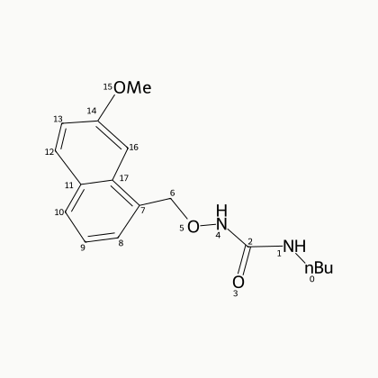 CCCCNC(=O)NOCc1cccc2ccc(OC)cc12